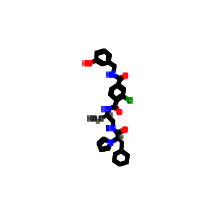 O=C(NCc1cccc(O)c1)c1ccc(C(=O)N[C@@H](CNC(=O)[C@H](CC2CCCCC2)n2cccc2)C(=O)O)c(Cl)c1